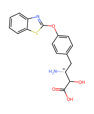 N[C@H](Cc1ccc(Oc2nc3ccccc3s2)cc1)C(O)C(=O)O